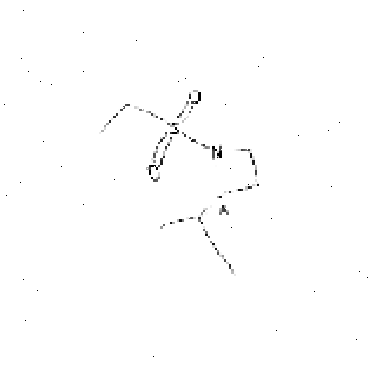 CCS(=O)(=O)N1CC[C@@H]1C(C)C